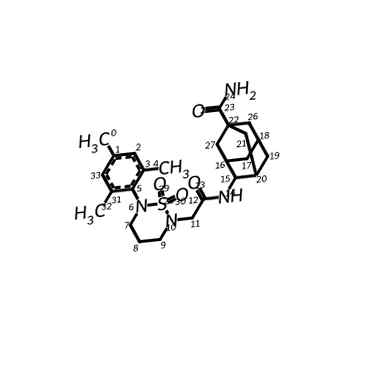 Cc1cc(C)c(N2CCCN(CC(=O)NC3C4CC5CC3CC(C(N)=O)(C5)C4)S2(=O)=O)c(C)c1